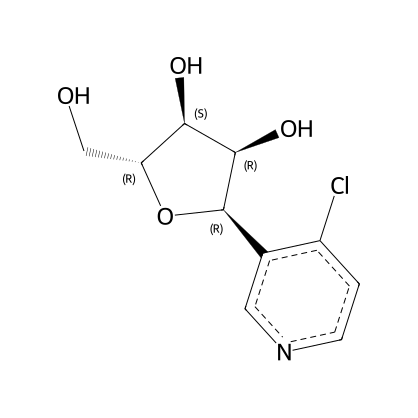 OC[C@H]1O[C@H](c2cnccc2Cl)[C@H](O)[C@@H]1O